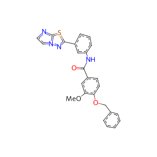 COc1cc(C(=O)Nc2cccc(-c3nn4ccnc4s3)c2)ccc1OCc1ccccc1